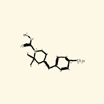 CC(C)(C)OC(=O)N1CC/C(=C\c2ccc(C(=O)O)cc2)CC1(C)C